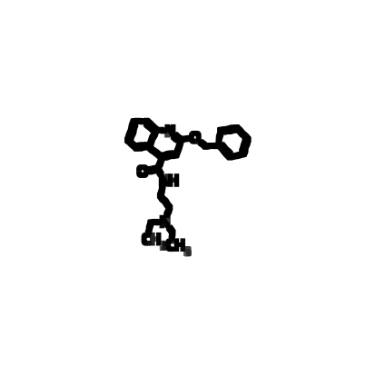 CCN(CC)CCNC(=O)c1cc(OCc2ccccc2)nc2ccccc12